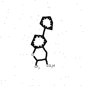 O=C(O)C1Cc2cc(-c3ccccc3)ccc2OC1C(F)(F)F